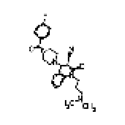 CN(C)CCCn1c(=O)c(C#N)c(N2CCN(C(=O)c3ccc(F)cc3)CC2)c2ccccc21